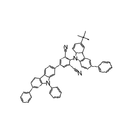 CC(C)(C)C1=CC2c3cc(-c4ccccc4)ccc3N(c3c(C#N)cc(-c4ccc5c6ccc(-c7ccccc7)cc6n(-c6ccccc6)c5c4)cc3C#N)C2C=C1